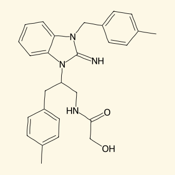 Cc1ccc(CC(CNC(=O)CO)n2c(=N)n(Cc3ccc(C)cc3)c3ccccc32)cc1